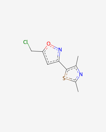 Cc1nc(C)c(-c2cc(CCl)on2)s1